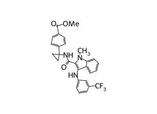 COC(=O)c1ccc(C2(NC(=O)c3c(Nc4cccc(C(F)(F)F)c4)c4ccccc4n3C)CC2)cc1